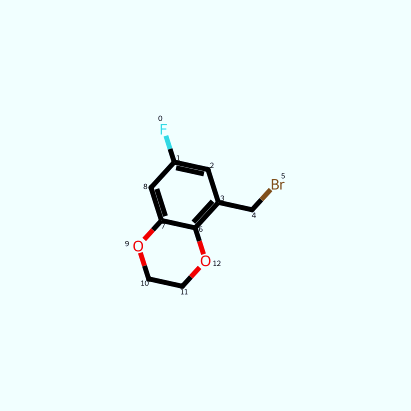 Fc1cc(CBr)c2c(c1)OCCO2